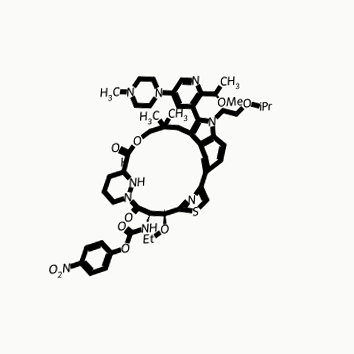 CCO[C@@H]1c2nc(cs2)-c2ccc3c(c2)c(c(-c2cc(N4CCN(C)CC4)cnc2[C@H](C)OC)n3CCOC(C)C)CC(C)(C)COC(=O)[C@@H]2CCCN(N2)C(=O)[C@H]1NC(=O)Oc1ccc([N+](=O)[O-])cc1